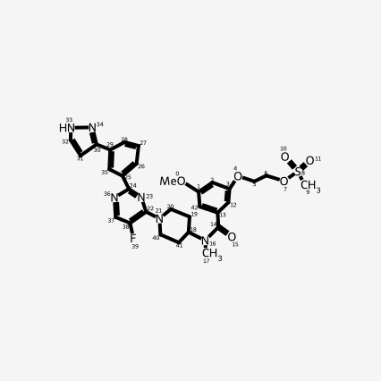 COc1cc(OCCOS(C)(=O)=O)cc(C(=O)N(C)C2CCN(c3nc(-c4cccc(-c5cc[nH]n5)c4)ncc3F)CC2)c1